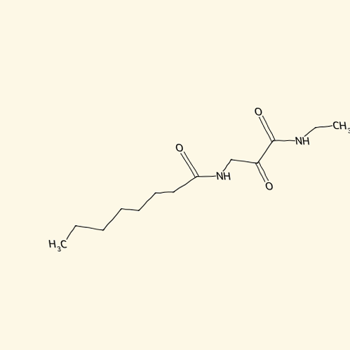 CCCCCCCC(=O)NCC(=O)C(=O)NCC